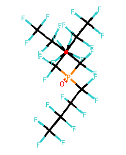 O=P(C(F)(F)C(F)(F)C(F)(F)C(F)(F)F)(C(F)(F)C(F)(F)C(F)(F)C(F)(F)F)C(F)(F)C(F)(F)C(F)(F)C(F)(F)F